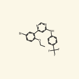 CCOc1ccc(Br)cc1-c1cc(Nc2ccc(C(F)(F)F)cc2)ncn1